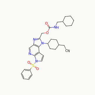 N#CCC1CCC(n2c(COC(=O)NCC3CCCCC3)nc3cnc4c(ccn4S(=O)(=O)c4ccccc4)c32)CC1